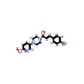 COc1ccc(N2CCN(C(=O)/C=C/c3ccc(Br)cc3)CC2)cn1